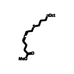 CCCCCCCCCCCSCC=C=CCCC(=O)OC